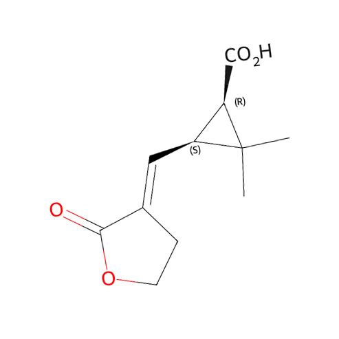 CC1(C)[C@H](C(=O)O)[C@@H]1C=C1CCOC1=O